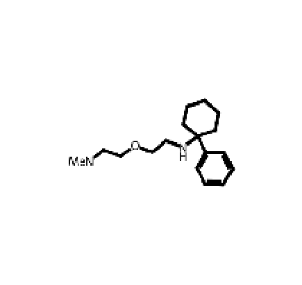 CNCCOCCNC1(c2ccccc2)CCCCC1